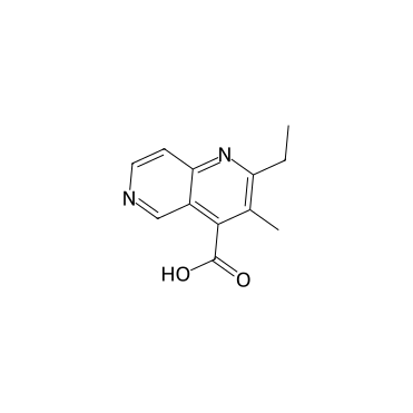 CCc1nc2ccncc2c(C(=O)O)c1C